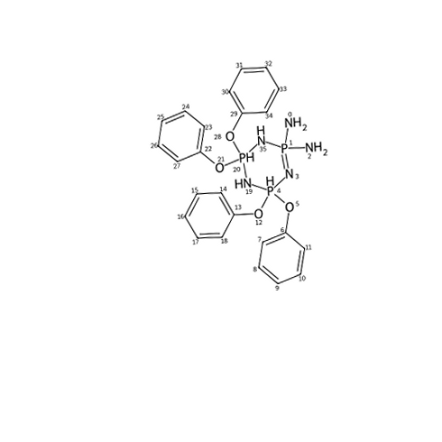 NP1(N)=N[PH](Oc2ccccc2)(Oc2ccccc2)N[PH](Oc2ccccc2)(Oc2ccccc2)N1